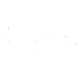 CCCc1c(OC)ccc2cc(C(=O)Nc3ccc(CN4CCC(F)(F)C4)cc3)c(=O)oc12